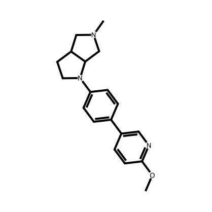 COc1ccc(-c2ccc(N3CCC4CN(C)CC43)cc2)cn1